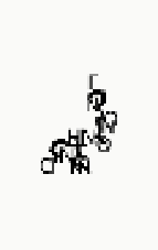 Cn1cc(C(C)(CNC(=O)c2cc(-c3ccc(F)cn3)on2)c2cccc(Cl)n2)cn1